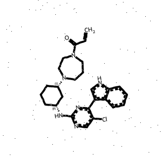 C=CC(=O)N1CCCN([C@H]2CCC[C@@H](Nc3ncc(Cl)c(-c4c[nH]c5ccccc45)n3)C2)CC1